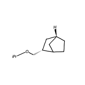 CC(C)OC[C@@H]1C[C@@H]2CCC1C2